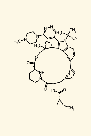 C[C@H]1C[C@@H]1C(=O)N[C@H]1Cc2nc(cs2)-c2ccc3c(c2)c(c(-c2cnnc(N4CCN(C)CC4)c2)n3C(C)(C)C#N)CC(C)(C)COC(=O)[C@@H]2CCCN(N2)C1=O